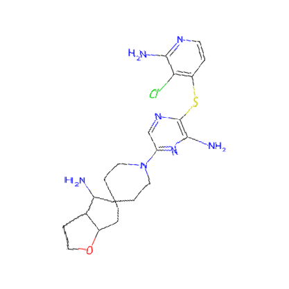 Nc1nc(N2CCC3(CC2)CC2OCCC2C3N)cnc1Sc1ccnc(N)c1Cl